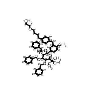 C=CCOCCCCc1ccc(Cc2cc([C@]3(OC)OC(C(C)(C)O)[C@@H](OCc4ccccc4)C(OCc4ccccc4)[C@H]3OCc3ccccc3)ccc2C)cc1